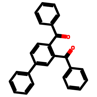 O=C(c1ccccc1)c1ccc(-c2ccccc2)cc1C(=O)c1ccccc1